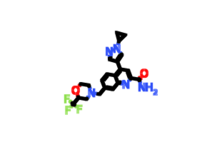 NC(=O)c1cc(-c2cnn(C3CC3)c2)c2ccc(CN3CCOC(C(F)(F)F)C3)cc2n1